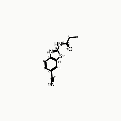 CCC(=O)Nc1nc2ccc(C#N)cc2s1